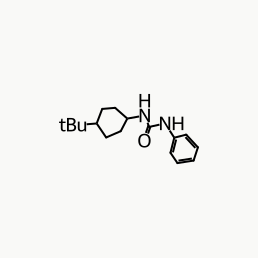 CC(C)(C)C1CCC(NC(=O)Nc2ccccc2)CC1